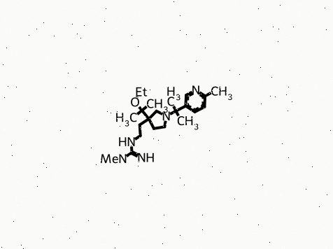 CCOC(C)(C)C1(CCNC(=N)NC)CCN(C(C)(C)c2ccc(C)nc2)C1